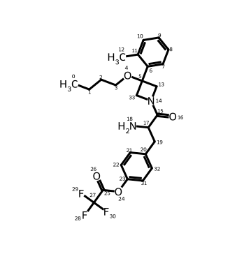 CCCCOC1(c2ccccc2C)CN(C(=O)C(N)Cc2ccc(OC(=O)C(F)(F)F)cc2)C1